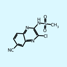 CS(=O)(=O)Nc1nc2ccc(C#N)cc2nc1Cl